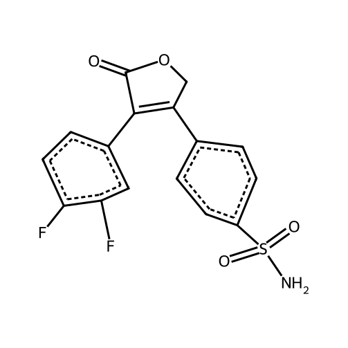 NS(=O)(=O)c1ccc(C2=C(c3ccc(F)c(F)c3)C(=O)OC2)cc1